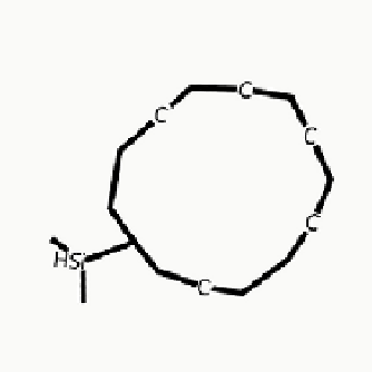 C[SiH](C)C1CCCCCCCCCCCCC1